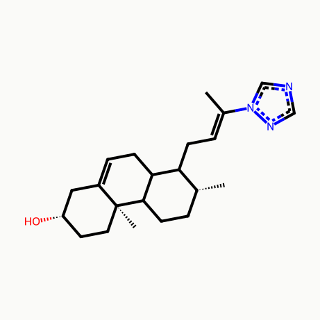 C/C(=C\CC1C2CC=C3C[C@@H](O)CC[C@]3(C)C2CC[C@H]1C)n1cncn1